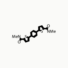 CNC(=O)c1ccc(-c2ccc(-c3ccc(C(=O)NC)s3)cc2)s1